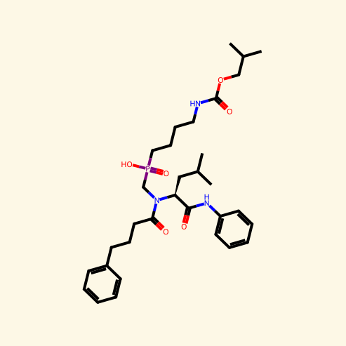 CC(C)COC(=O)NCCCCP(=O)(O)CN(C(=O)CCCc1ccccc1)[C@@H](CC(C)C)C(=O)Nc1ccccc1